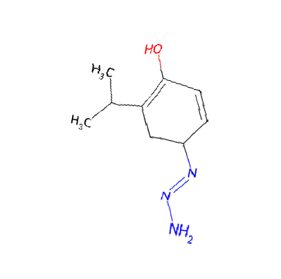 CC(C)C1=C(O)C=CC(N=NN)C1